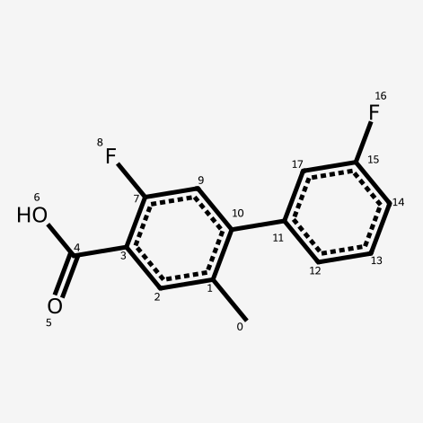 Cc1cc(C(=O)O)c(F)cc1-c1cccc(F)c1